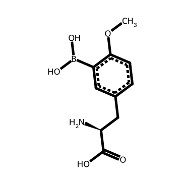 COc1ccc(C[C@H](N)C(=O)O)cc1B(O)O